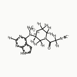 [2H]c1nc(N(C)[C@]2([2H])[C@H](C)C([2H])([2H])C([2H])([2H])N(C(=O)C([2H])([2H])[N+]#[C-])C2([2H])[2H])c2cc[nH]c2n1